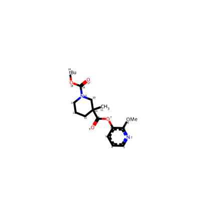 COc1ncccc1OC(=O)C1(C)CCCN(C(=O)OC(C)(C)C)C1